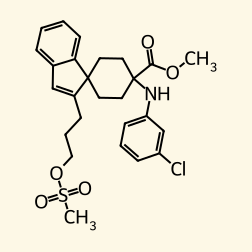 COC(=O)C1(Nc2cccc(Cl)c2)CCC2(CC1)C(CCCOS(C)(=O)=O)=Cc1ccccc12